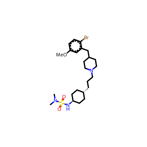 COc1ccc(Br)c(CC2CCN(CCC[C@H]3CC[C@H](NS(=O)(=O)N(C)C)CC3)CC2)c1